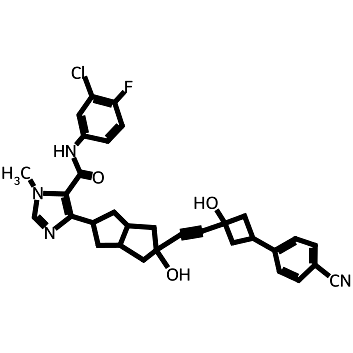 Cn1cnc(C2CC3CC(O)(C#CC4(O)CC(c5ccc(C#N)cc5)C4)CC3C2)c1C(=O)Nc1ccc(F)c(Cl)c1